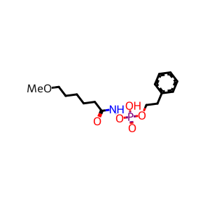 COCCCCCC(=O)NOP(=O)(O)OCCc1ccccc1